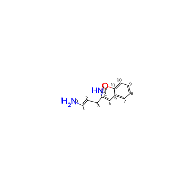 NC=CCC1=Cc2ccccc2ON1